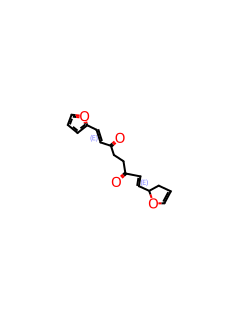 O=C(/C=C/c1ccco1)CCC(=O)/C=C/C1CC=CO1